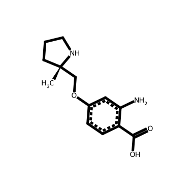 C[C@@]1(COc2ccc(C(=O)O)c(N)c2)CCCN1